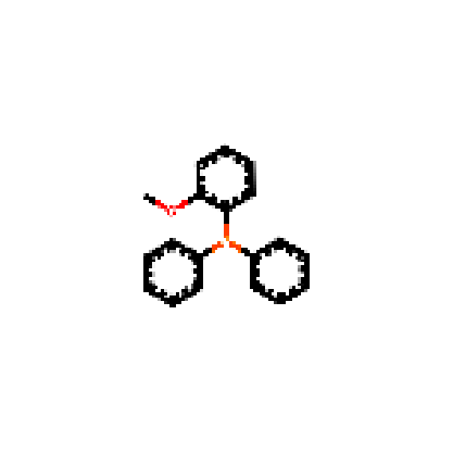 COc1ccccc1P(c1ccccc1)c1ccccc1